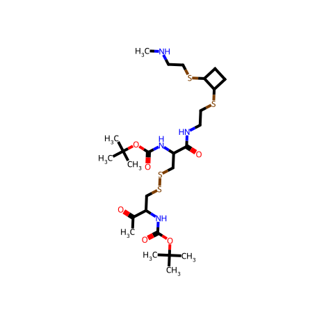 CNCCSC1CCC1SCCNC(=O)C(CSSCC(NC(=O)OC(C)(C)C)C(C)=O)NC(=O)OC(C)(C)C